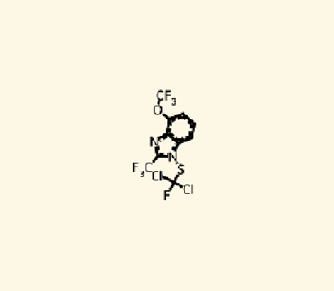 FC(F)(F)Oc1cccc2c1nc(C(F)(F)F)n2SC(F)(Cl)Cl